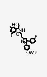 COc1ccc(-n2nc(CCC(=O)NC(CO)c3cc(C)cc(F)c3)cc2-c2cccc(F)c2)cc1